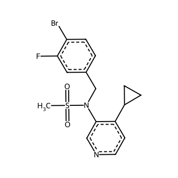 CS(=O)(=O)N(Cc1ccc(Br)c(F)c1)c1cnccc1C1CC1